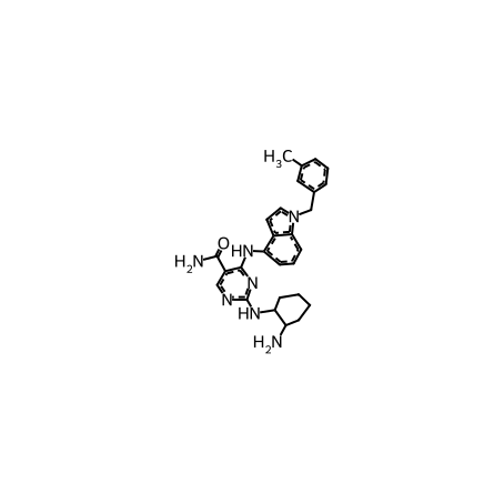 Cc1cccc(Cn2ccc3c(Nc4nc(NC5CCCCC5N)ncc4C(N)=O)cccc32)c1